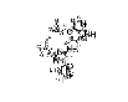 C#CC1(COc2nc(C(=O)N[C@@H](C)C(F)(F)F)cc(N3CCC(c4n[nH]c5nccc(OCCN(C)C)c45)CC3)n2)CC1